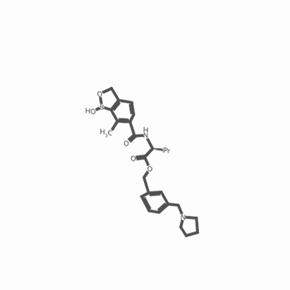 Cc1c(C(=O)N[C@H](C(=O)OCc2cccc(CN3CCCC3)c2)C(C)C)ccc2c1B(O)OC2